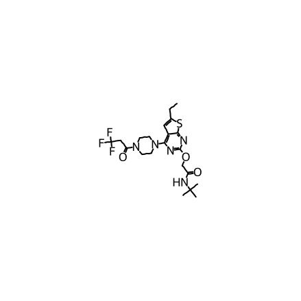 CCc1cc2c(N3CCN(C(=O)CC(F)(F)F)CC3)nc(OCC(=O)NC(C)(C)C)nc2s1